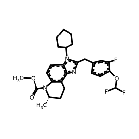 COC(=O)N1c2ccc3c(nc(Cc4ccc(OC(F)F)c(F)c4)n3C3CCCCC3)c2CC[C@@H]1C